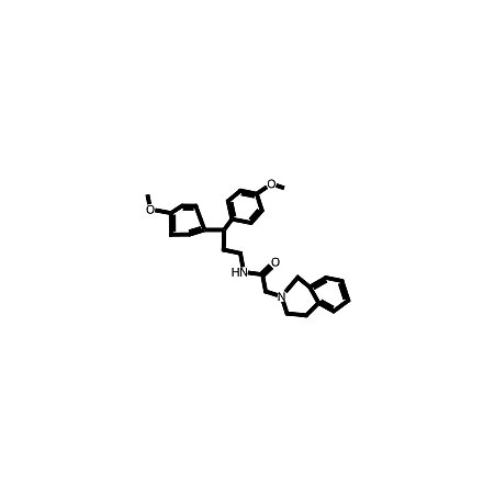 COc1ccc(C(CCNC(=O)CN2CCc3ccccc3C2)c2ccc(OC)cc2)cc1